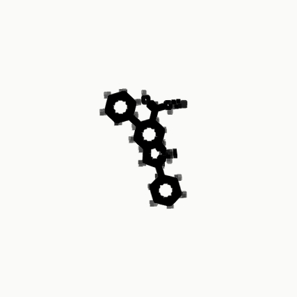 COC(=O)c1cc2[nH]c(-c3ccccc3)cc2cc1-c1ccccc1